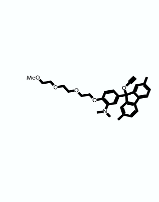 C#COC1(c2ccc(OCCOCCOCCOC)c(N(C)C)c2)c2cc(C)ccc2-c2ccc(C)cc21